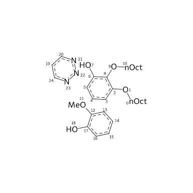 CCCCCCCCOc1cccc(O)c1OCCCCCCCC.COc1ccccc1O.c1cnnnc1